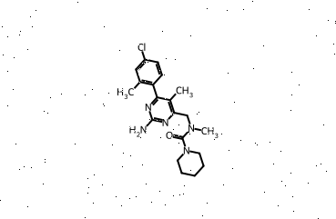 Cc1cc(Cl)ccc1-c1nc(N)nc(CN(C)C(=O)N2CCCCC2)c1C